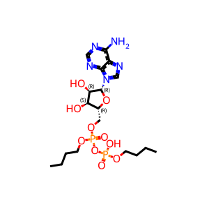 CCCCOP(=O)(O)OP(=O)(OCCCC)OC[C@H]1O[C@@H](n2cnc3c(N)ncnc32)[C@H](O)[C@@H]1O